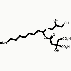 CCCCCCCCCCCCCCCCCC(OCC(O)CO)OC(=O)CC(O)(CC(=O)O)C(=O)O